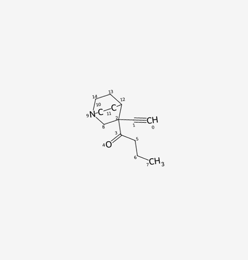 C#CC1(C(=O)CCC)CN2CCC1CC2